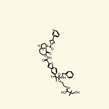 CC(C)(CO)C(O)=[SH]CCOP(=O)(NCc1ccccc1)C(F)(F)c1ccc2sc(C(=O)N[C@H]3CCC[C@H]4CC[C@@H](C(=O)N5CC(c6cccnc6)C5)N4C3=O)cc2c1